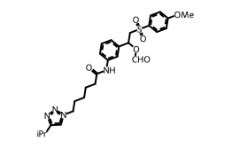 COc1ccc(S(=O)(=O)CC(OC=O)c2cccc(NC(=O)CCCCCn3cc(C(C)C)nn3)c2)cc1